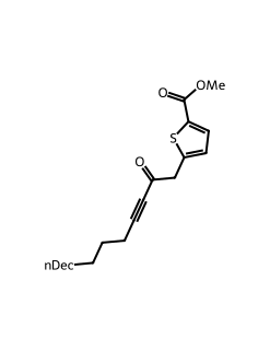 CCCCCCCCCCCCCC#CC(=O)Cc1ccc(C(=O)OC)s1